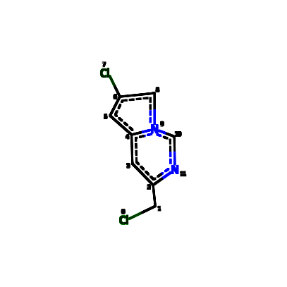 ClCc1cc2cc(Cl)cn2cn1